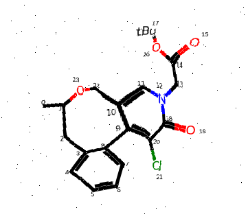 CC1Cc2ccccc2-c2c(cn(CC(=O)OC(C)(C)C)c(=O)c2Cl)CO1